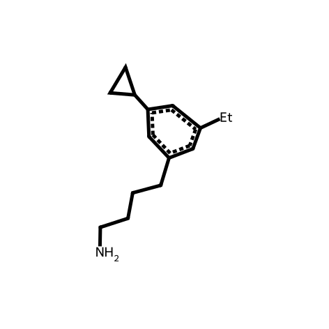 CCc1cc(CCCCN)cc(C2CC2)c1